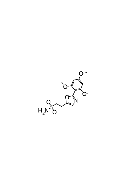 COc1cc(OC)c(-c2ncc(CCS(N)(=O)=O)o2)c(OC)c1